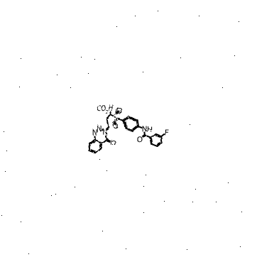 O=C(Nc1ccc(S(=O)(=O)C(CCn2nnc3ccccc3c2=O)C(=O)O)cc1)c1cccc(F)c1